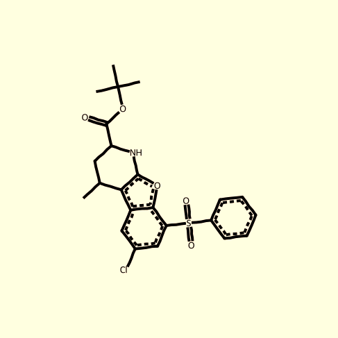 CC1CC(C(=O)OC(C)(C)C)Nc2oc3c(S(=O)(=O)c4ccccc4)cc(Cl)cc3c21